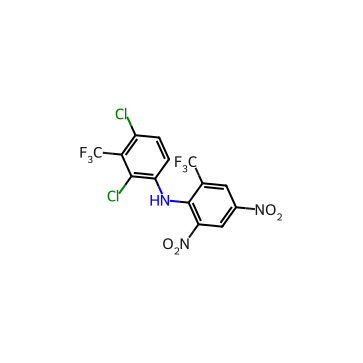 O=[N+]([O-])c1cc([N+](=O)[O-])c(Nc2ccc(Cl)c(C(F)(F)F)c2Cl)c(C(F)(F)F)c1